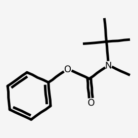 CN(C(=O)Oc1ccccc1)C(C)(C)C